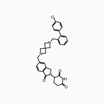 O=C1CCC(N2Cc3cc(CN4CC5(C4)CN(Cc4ccccc4-c4ccc(Cl)cc4)C5)ccc3C2=O)C(=O)N1